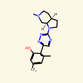 Cc1cc(C(F)(F)F)cc(O)c1-c1cnc(N2CC[C@@H]3CCN(C)C[C@@H]32)nn1